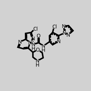 O=C(Nc1cnc(-n2nccn2)c(Cl)c1)N[N+]12N=C(Cl)C=C1N=CC=C2C1CNCCO1